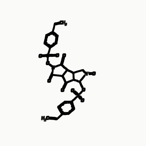 C=Cc1ccc(S(=O)(=O)OC2C3C(=O)C4C(=O)N(OS(=O)(=O)c5ccc(C=C)cc5)C(=O)C4C3C[N+]2=O)cc1